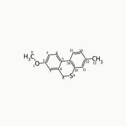 COc1ccc2c(c1)CSc1cc(C)ccc1-2